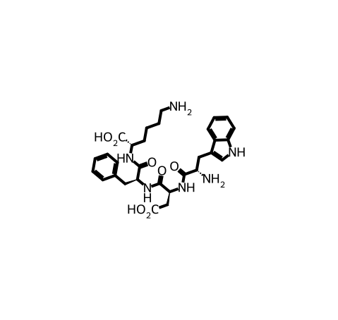 NCCCC[C@H](NC(=O)[C@H](Cc1ccccc1)NC(=O)[C@H](CC(=O)O)NC(=O)[C@@H](N)Cc1c[nH]c2ccccc12)C(=O)O